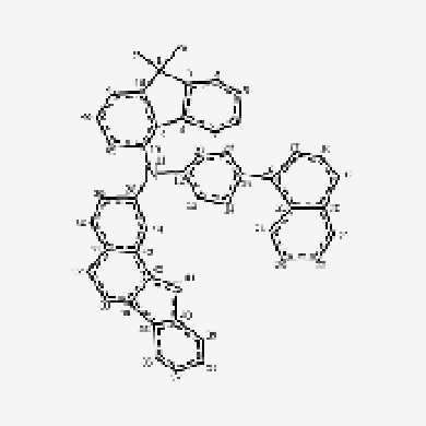 CC1(C)c2ccccc2-c2c(N(c3ccc(-c4cccc5ccccc45)cc3)c3ccc4ccc5c6ccccc6sc5c4c3)cccc21